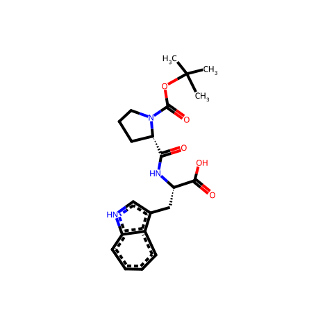 CC(C)(C)OC(=O)N1CCC[C@H]1C(=O)N[C@@H](Cc1c[nH]c2ccccc12)C(=O)O